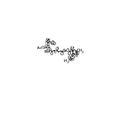 CCN(C(=O)OCOC(=O)CCC(=O)OCC(=O)N(C[C@@H](COc1nsnc1N1CCOCC1)OC(=O)COC(C)=O)C(C)(C)C)[C@H]1C[C@H](C)S(=O)(=O)c2sc(S(N)(=O)=O)cc21